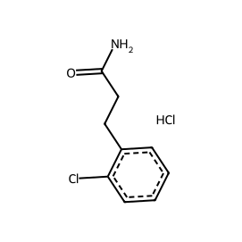 Cl.NC(=O)CCc1ccccc1Cl